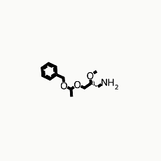 CO[C@H](CN)COC(C)OCc1ccccc1